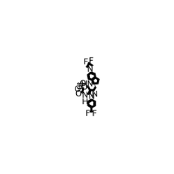 CS(=O)(=O)CC(=O)Nc1c2c(nn1-c1ccc(C(F)F)cc1)C[C@]1(CCc3cc(N4CC(F)(F)C4)ccc31)NC2=O